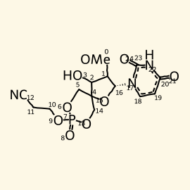 COC1C(O)C2(COP(=O)(OCCC#N)OC2)O[C@H]1n1ccc(=O)[nH]c1=O